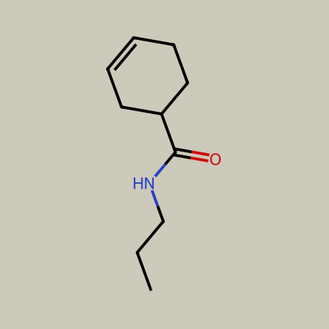 CCCNC(=O)C1CC=CCC1